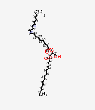 CCCCC/C=C/C/C=C\CCCCCCCC(=O)OC(CO)COC(=O)CCCCCCCCCCCCCCC